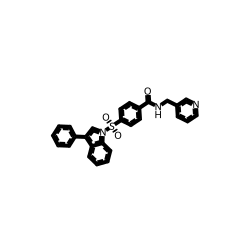 O=C(NCc1cccnc1)c1ccc(S(=O)(=O)n2cc(-c3ccccc3)c3ccccc32)cc1